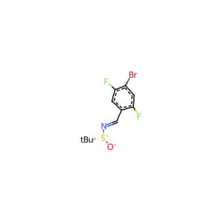 CC(C)(C)[S@@+]([O-])N=Cc1cc(F)c(Br)cc1F